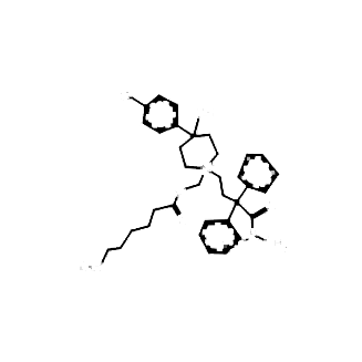 CCCCCCCCCCCCCCCC(=O)OC[N+]1(CCC(C(=O)N(C)C)(c2ccccc2)c2ccccc2)CCC(O)(c2ccc(Cl)cc2)CC1